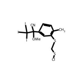 COC(C#N)(c1ccc(C)c(SCSCl)c1)C(I)(I)I